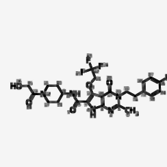 Cc1nc2[nH]c(C(=O)NC3CCN(C(=O)CO)CC3)c(OCC(F)(F)F)c2c(=O)n1CCc1ccc(F)cc1